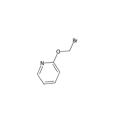 BrCOc1ccccn1